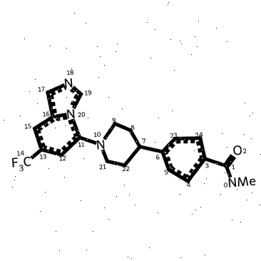 CNC(=O)c1ccc(C2CCN(c3cc(C(F)(F)F)cc4cncn34)CC2)cc1